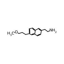 COCCCc1ccc2cc(CCN)ccc2c1